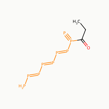 CCC(=O)P(#P)P=PP=PP=PP